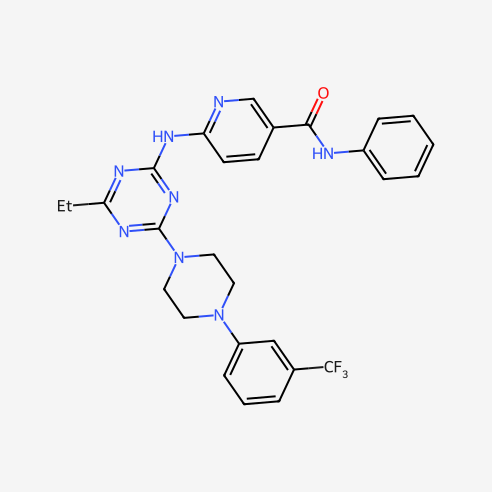 CCc1nc(Nc2ccc(C(=O)Nc3ccccc3)cn2)nc(N2CCN(c3cccc(C(F)(F)F)c3)CC2)n1